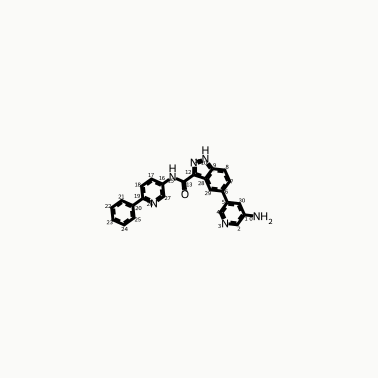 Nc1cncc(-c2ccc3[nH]nc(C(=O)Nc4ccc(-c5ccccc5)nc4)c3c2)c1